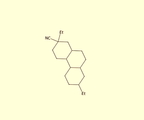 CCC1CCC2C(CCC3CC(C#N)(CC)CCC32)C1